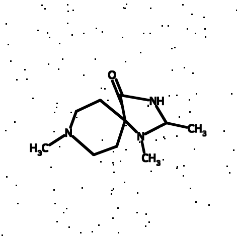 CC1NC(=O)C2(CCN(C)CC2)N1C